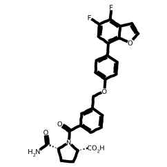 NC(=O)[C@H]1CC[C@@H](C(=O)O)N1C(=O)c1cccc(COc2ccc(-c3cc(F)c(F)c4ccoc34)cc2)c1